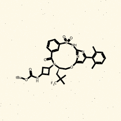 Cc1cccc(C)c1-c1cc2nc(n1)NS(=O)(=O)c1cccc(c1)C(=O)N(C1CC(NC(=O)OC(C)(C)C)C1)[C@H](CC(C)(C)C(F)(F)F)CO2